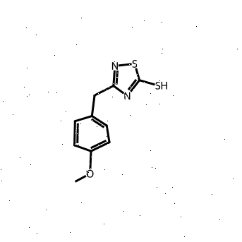 COc1ccc(Cc2nsc(S)n2)cc1